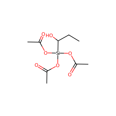 CCC(O)[Si](OC(C)=O)(OC(C)=O)OC(C)=O